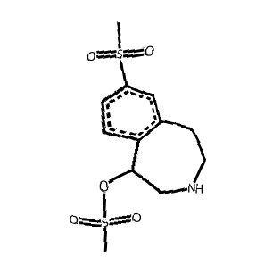 CS(=O)(=O)OC1CNCCc2cc(S(C)(=O)=O)ccc21